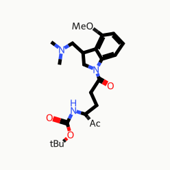 COc1cccc2c1C(CN(C)C)CN2C(=O)CCC(NC(=O)OC(C)(C)C)C(C)=O